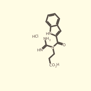 Cl.N=C(N)N(CCC(=O)O)C(=O)c1cc2ccccc2[nH]1